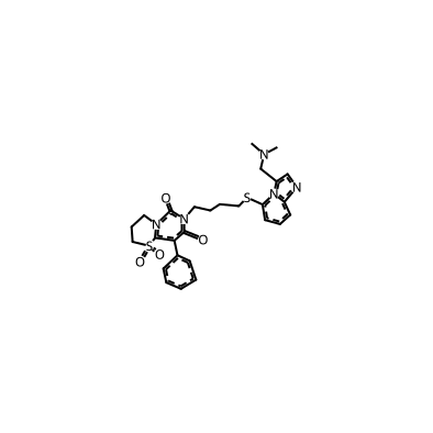 CN(C)Cc1cnc2cccc(SCCCCn3c(=O)c(-c4ccccc4)c4n(c3=O)CCCS4(=O)=O)n12